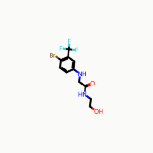 O=C(CNc1ccc(Br)c(C(F)(F)F)c1)NCCO